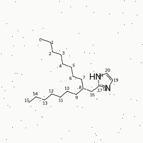 CCCCCCCCC(CCCCCCC)Cc1ncc[nH]1